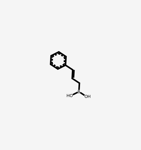 OB(O)CC=Cc1ccccc1